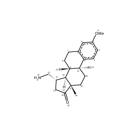 COc1ccc2c(c1)CC[C@H]1[C@@H]3[C@@H](CN)CC(=O)[C@@]3(C)CC[C@H]21